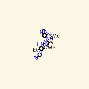 C=Cc1cnc(Nc2cc(CC)c(N3CCC(N(C)C)C3)cc2OC)nc1Nc1ccc2nccnc2c1N(C)SC